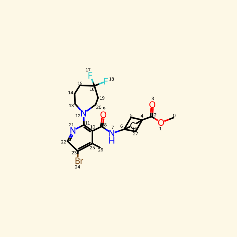 COC(=O)C12CC(NC(=O)c3c(N4CCCC(F)(F)CC4)ncc(Br)c3C)(C1)C2